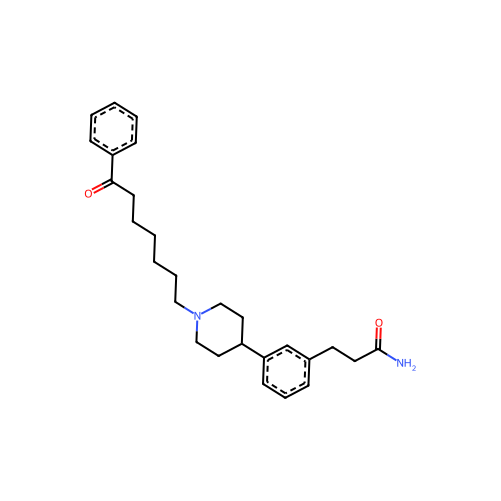 NC(=O)CCc1cccc(C2CCN(CCCCCCC(=O)c3ccccc3)CC2)c1